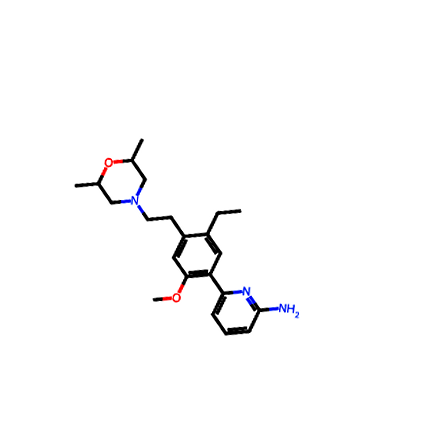 CCc1cc(-c2cccc(N)n2)c(OC)cc1CCN1CC(C)OC(C)C1